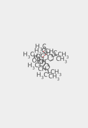 CCCCCC(OP1OC(C)O1)(c1ccc(C(C)(C)C)cc1C(C)(C)C)c1ccc(C(C)(C)C)cc1C(C)(C)C